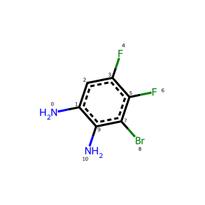 Nc1cc(F)c(F)c(Br)c1N